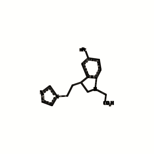 CCCc1ccc2c(c1)C(CCn1ccnc1)CN2CC(=O)O